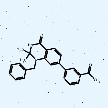 CC(=O)c1ccnc(-c2ccc3c(c2)N(Cc2ccccc2)C(C)(C)NC3=O)c1